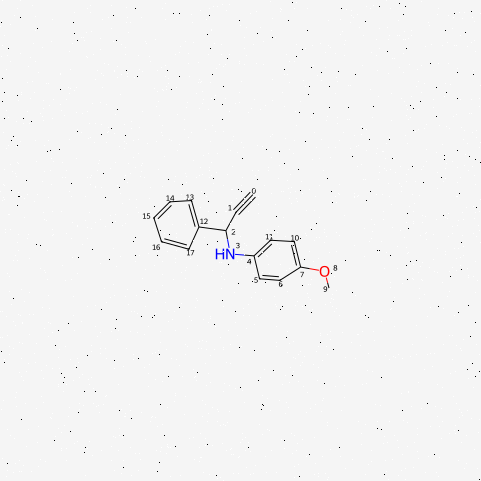 C#CC(Nc1ccc(OC)cc1)c1ccccc1